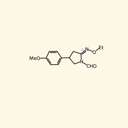 CCO/N=C1/CC(c2ccc(OC)cc2)CN1C=O